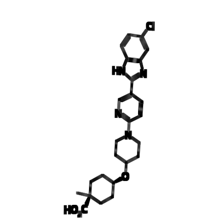 C[C@]1(C(=O)O)CC[C@@H](OC2CCN(c3ccc(-c4nc5cc(Cl)ccc5[nH]4)cn3)CC2)CC1